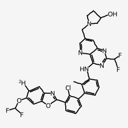 [2H]c1cc2nc(-c3cccc(-c4cccc(Nc5nc(C(F)F)nc6cc(CN7CCC(O)C7)cnc56)c4C)c3Cl)oc2cc1OC(F)F